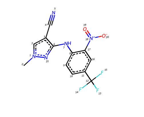 Cn1cc(C#N)c(Nc2ccc(C(F)(F)F)cc2[N+](=O)[O-])n1